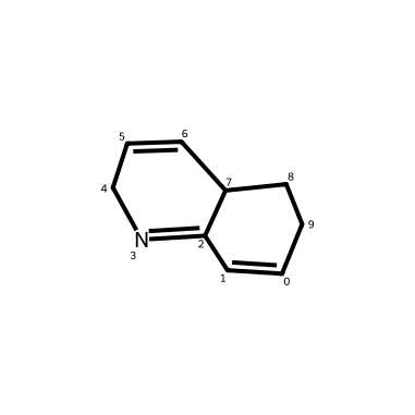 C1=CC2=NCC=CC2CC1